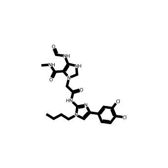 CCCCn1cc(-c2ccc(Cl)c(Cl)c2)nc1NC(=O)CN1CNC(NC=O)=C1C(=O)NC